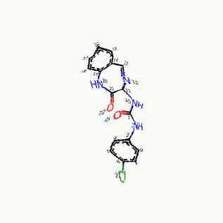 O=C(Nc1ccc(Cl)cc1)NC1N=Cc2ccccc2NC1=O